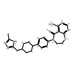 Cc1nnc(CC2CCC(c3ccc(N4CCOc5ncnc(N)c5C4=O)cc3)CC2)[nH]1